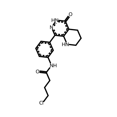 O=C(CCCCl)Nc1cccc(-c2n[nH]c(=O)c3c2NCCC3)c1